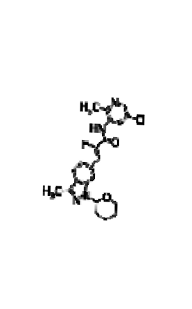 Cc1ncc(Cl)cc1NC(=O)/C(F)=C/c1ccc2c(C)nn(C3CCCCO3)c2c1